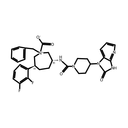 O=C(N[C@@H]1CC[C@@H](c2cccc(F)c2F)C[N+](Cc2ccccc2)(C(=O)[O-])C1)N1CCC(n2c(=O)[nH]c3ncccc32)CC1